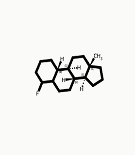 C[C@@]12CCC[C@H]1[C@@H]1CCC3C(F)CCC[C@@H]3[C@H]1CC2